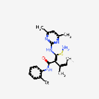 C/C=C(C)\C(C(=O)Nc1ccccc1CC)=C(\Nc1nc(C)cc(C)n1)SN